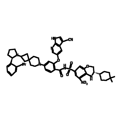 CC(C)c1ccccc1[C@H]1CCCN1C1CC2(CCN(c3ccc(C(=O)NS(=O)(=O)c4cc5c(c([N+](=O)[O-])c4)N[C@@H](C4CCC(C)(C)CC4)CO5)c(Oc4cnc5[nH]cc(C#N)c5c4)c3)CC2)C1